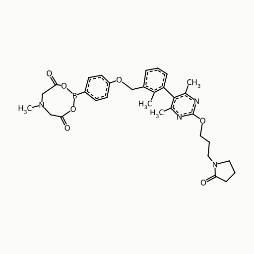 Cc1nc(OCCCN2CCCC2=O)nc(C)c1-c1cccc(COc2ccc(B3OC(=O)CN(C)CC(=O)O3)cc2)c1C